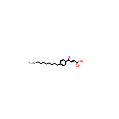 CCCCCCCCCCCCCCCCCCc1ccc(C(=O)/C=C/C(O)O)cc1